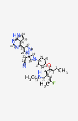 CC/C=C(/C=C(\C=C(/C)F)CNCC)OC1CCC(N2CC(CC#N)(n3cc(-c4ncnc5[nH]ccc45)cn3)C2)CC1